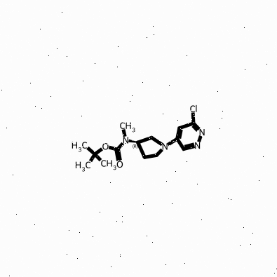 CN(C(=O)OC(C)(C)C)[C@@H]1CCN(c2cnnc(Cl)c2)C1